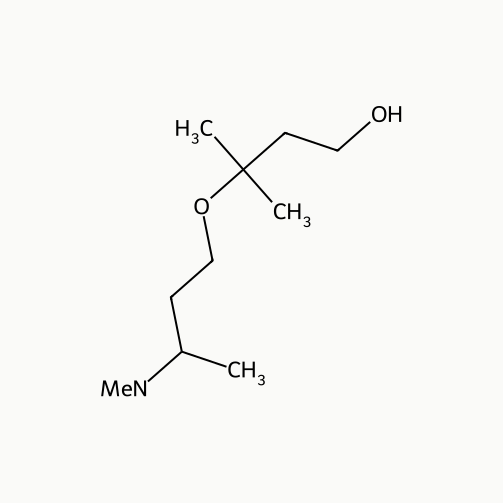 CNC(C)CCOC(C)(C)CCO